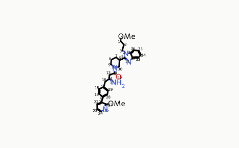 COCCCn1c(C2CCCN(C(=O)CC(N)Cc3ccc(-c4cccnc4OC)cc3)C2)nc2ccccc21